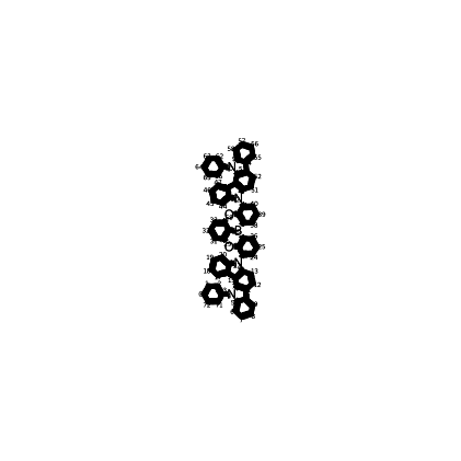 c1ccc(-n2c3ccccc3c3ccc4c(c5ccccc5n4-c4cccc5c4Oc4cccc6c4B5c4cccc(-n5c7ccccc7c7c5ccc5c8ccccc8n(-c8ccccc8)c57)c4O6)c32)cc1